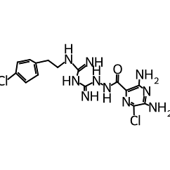 N=C(NCCc1ccc(Cl)cc1)NC(=N)NNC(=O)c1nc(Cl)c(N)nc1N